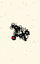 Cc1cc(C)cc(-c2c([C@H](C)CNS(=O)(=O)c3ccc([N+](=O)[O-])cc3[N+](=O)[O-])c3cc(C(C)(C)C(=O)N4CC5CCC4CC5)cnc3n2C(=O)OC(C)(C)C)c1